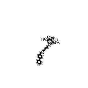 O[C@H]1[C@H](O)[C@@H](O)CN(CCCCCCOCc2ccc(-c3ccccc3)cc2)C[C@@H]1O